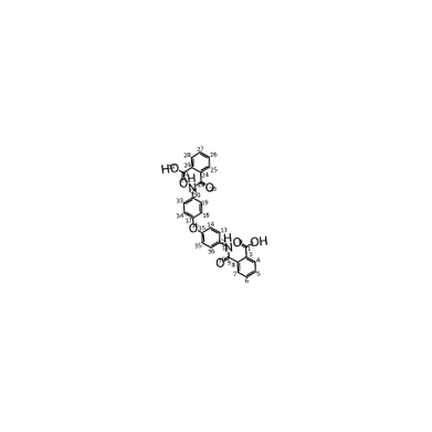 O=C(O)c1ccccc1C(=O)Nc1ccc(Oc2ccc(NC(=O)c3ccccc3C(=O)O)cc2)cc1